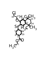 CCOC(=O)c1ccc([Se]c2cc3c(cc2OCCCl)C(C)(C)CCC3(C)C)cc1